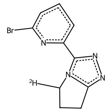 [2H]C1CCc2nnc(-c3cccc(Br)n3)n21